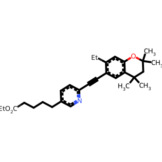 CCOC(=O)CCCCc1ccc(C#Cc2cc3c(cc2CC)OC(C)(C)CC3(C)C)nc1